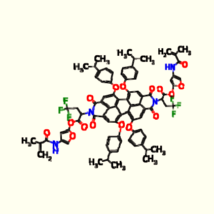 C=C(C)C(=O)Nc1coc(OC(=O)C(CC(F)(F)F)N2C(=O)c3cc(Oc4ccc(C(C)C)cc4)c4c5c(Oc6ccc(C(C)C)cc6)cc6c7c(cc(Oc8ccc(C(C)C)cc8)c(c8c(Oc9ccc(C(C)C)cc9)cc(c3c48)C2=O)c75)C(=O)N(C(CC(F)(F)F)C(=O)Oc2cc(NC(=O)C(=C)C)co2)C6=O)c1